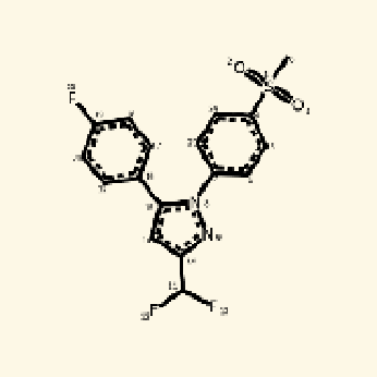 CS(=O)(=O)c1ccc(-n2nc(C(F)F)cc2-c2ccc(F)cc2)cc1